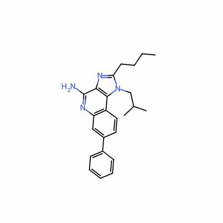 CCCCc1nc2c(N)nc3cc(-c4ccccc4)ccc3c2n1CC(C)C